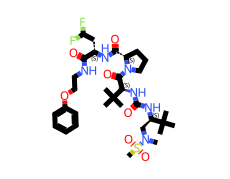 CN(C[C@@H](NC(=O)N[C@H](C(=O)N1CCC[C@H]1C(=O)N[C@@H](CC(F)F)C(=O)NCCOc1ccccc1)C(C)(C)C)C(C)(C)C)S(C)(=O)=O